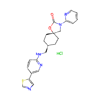 Cl.O=C1O[C@]2(CC[C@H](CNc3ccc(-c4cncs4)cn3)CC2)CN1c1ccccn1